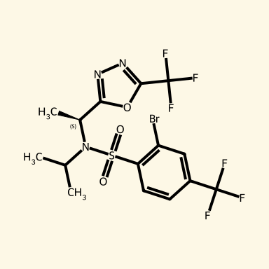 CC(C)N([C@@H](C)c1nnc(C(F)(F)F)o1)S(=O)(=O)c1ccc(C(F)(F)F)cc1Br